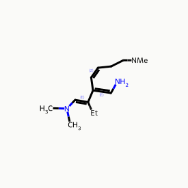 CCC(=C\N(C)C)/C(/C=C\CCNC)=C/N